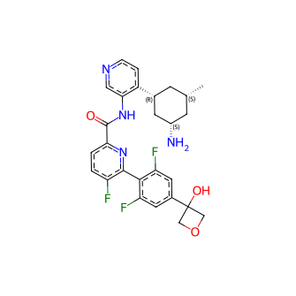 C[C@@H]1C[C@H](N)C[C@H](c2ccncc2NC(=O)c2ccc(F)c(-c3c(F)cc(C4(O)COC4)cc3F)n2)C1